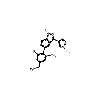 Cc1cc(CN)cc(F)c1-c1cc2c(-c3cnn(C)c3)nn(F)c2cn1